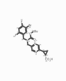 CC(C)(C)OC(=O)N(Cc1cnc(C2C[C@@H]2C(=O)O)cn1)Cc1cc(Br)c(F)cc1F